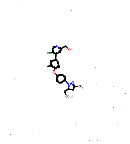 Cc1cc(-c2cc(CO)ncc2F)ccc1Oc1ccc(N2N=C(C(F)(F)F)CC2CC(=O)O)cc1